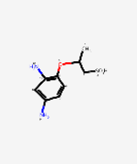 CC(CS(=O)(=O)O)Oc1ccc(N)cc1N